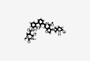 COc1nc(-c2cccc(-c3cccc(NC(=O)c4cn(C)c(=O)n(C)c4=O)c3Cl)c2F)cc2c1C(N1CC3(CCC(=O)N3)C1)CO2